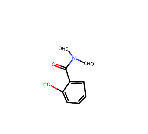 O=CN(C=O)C(=O)c1ccccc1O